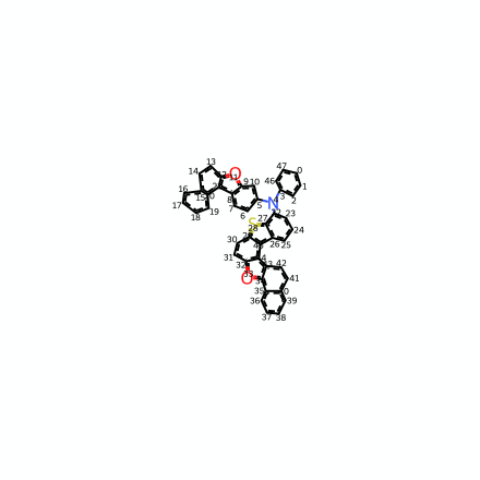 c1ccc(N(c2ccc3c(c2)oc2ccc4ccccc4c23)c2cccc3c2sc2ccc4oc5c6ccccc6ccc5c4c23)cc1